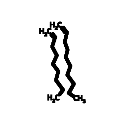 C=CCCCCCCC.C=CCCCCCCCC